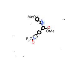 COC(=O)c1cc(-c2ccc(C3CCN(C(=O)C(F)(F)F)CC3)cc2)cc(-n2cc(-c3ccc(OC)cc3)nn2)c1